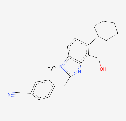 Cn1c(Cc2ccc(C#N)cc2)nc2c(CO)c(C3CCCCC3)ccc21